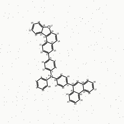 c1ccc(N(c2ccc(-c3ccc4c(ccc5oc6ccccc6c54)c3)cc2)c2ccc(-c3cc4ccccc4c4ccccc34)cc2)cc1